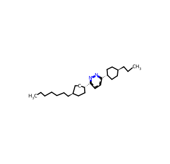 CCCCCCC[C@H]1CC[C@H](c2ccc([C@H]3CC[C@H](CCC)CC3)nn2)CC1